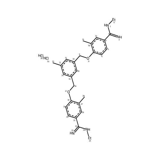 CCNC(=N)c1ccc(OCc2cc(C)cc(COc3ccc(C(=N)NCC)cc3C)c2)c(C)c1.Cl.Cl